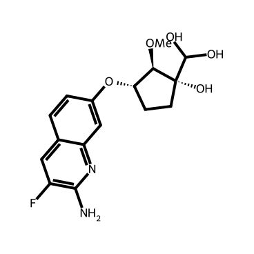 CO[C@@H]1[C@@H](Oc2ccc3cc(F)c(N)nc3c2)CC[C@]1(O)C(O)O